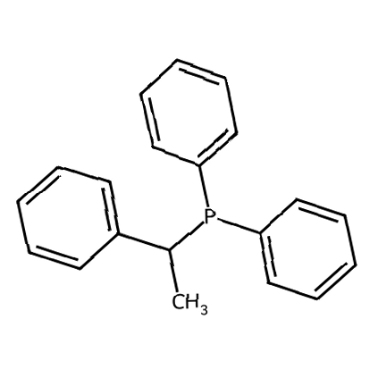 CC(c1ccccc1)P(c1ccccc1)c1ccccc1